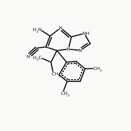 Cc1cc(C)cc(C2(C(C)C)C(C#N)=C(N)N=C3NC=NN32)c1